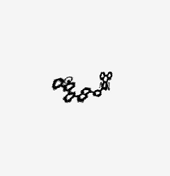 c1cc(-c2ccc3oc4ccccc4c3c2)cc(-c2cccc3c(-c4cccc(-c5cnc6c7ccccc7c7ccccc7c6n5)c4)cccc23)c1